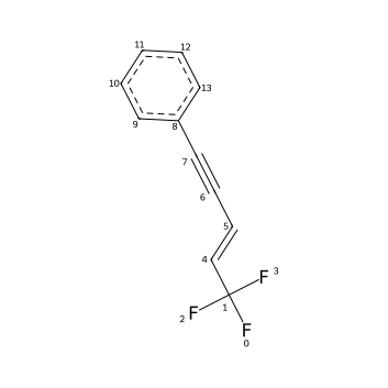 FC(F)(F)C=CC#Cc1ccccc1